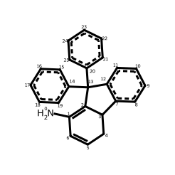 NC1=C2C(CC=C1)c1ccccc1C2(c1ccccc1)c1ccccc1